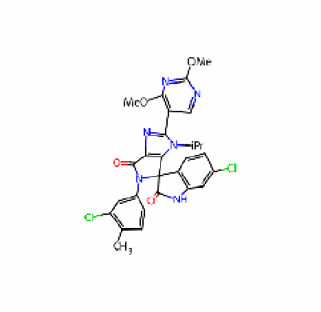 COc1ncc(-c2nc3c(n2C(C)C)C2(C(=O)Nc4cc(Cl)ccc42)N(c2ccc(C)c(Cl)c2)C3=O)c(OC)n1